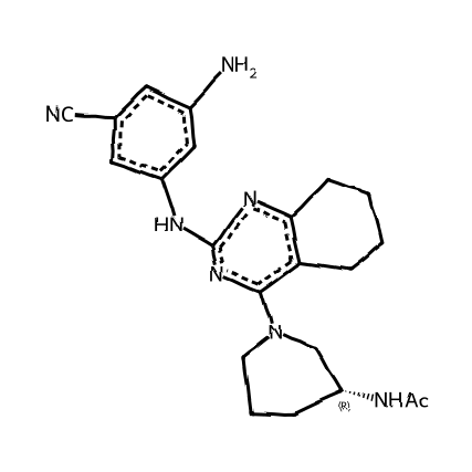 CC(=O)N[C@@H]1CCCN(c2nc(Nc3cc(N)cc(C#N)c3)nc3c2CCCC3)C1